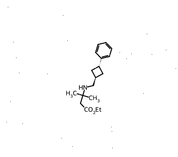 CCOC(=O)CC(C)(C)NC[C@H]1C[C@H](c2ccccc2)C1